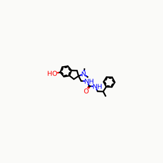 CC(CNC(=O)NCC1(N(C)C)Cc2ccc(O)cc2C1)c1ccccc1